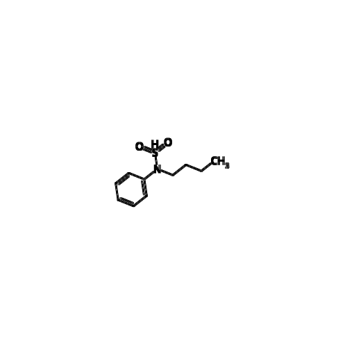 CCCCN(c1ccccc1)[SH](=O)=O